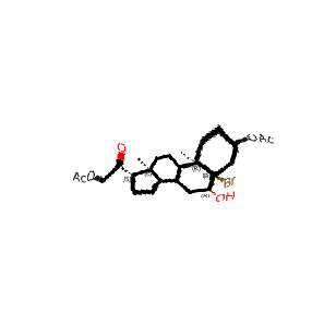 CC(=O)OCC(=O)[C@H]1CCC2C3C[C@@H](O)[C@@]4(Br)CC(OC(C)=O)CC[C@]4(C)C3CC[C@@]21C